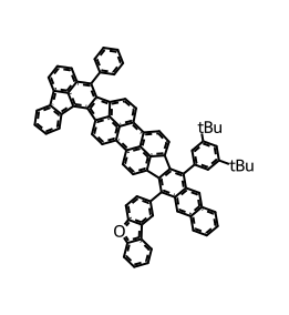 CC(C)(C)c1cc(-c2c3c(c(-c4ccc5oc6ccccc6c5c4)c4cc5ccccc5cc24)-c2ccc4c5ccc6c7c(ccc(c8ccc-3c2c84)c57)c2c(-c3ccccc3)c3cccc4c5ccccc5c(c34)c62)cc(C(C)(C)C)c1